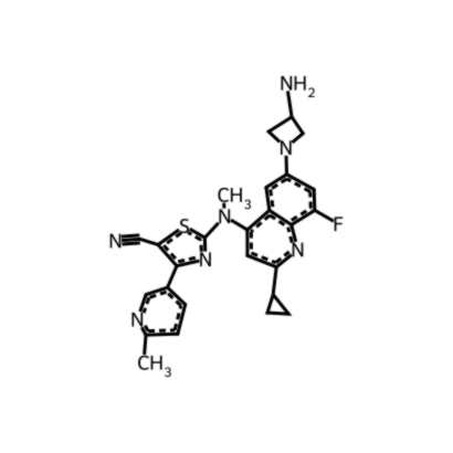 Cc1ccc(-c2nc(N(C)c3cc(C4CC4)nc4c(F)cc(N5CC(N)C5)cc34)sc2C#N)cn1